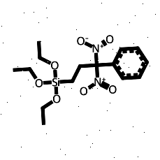 CCO[Si](CCC(c1ccccc1)([N+](=O)[O-])[N+](=O)[O-])(OCC)OCC